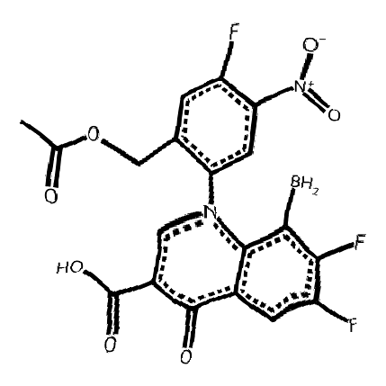 Bc1c(F)c(F)cc2c(=O)c(C(=O)O)cn(-c3cc([N+](=O)[O-])c(F)cc3COC(C)=O)c12